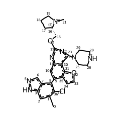 Cc1cc2[nH]ncc2c(-c2cc3nc(OC[C@@H]4CCCN4C)nc(N4CCNCC4)c3c3occc23)c1Cl